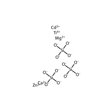 [Ca+2].[Cd+2].[Mg+2].[O-][Si]([O-])([O-])[O-].[O-][Si]([O-])([O-])[O-].[O-][Si]([O-])([O-])[O-].[Ti+4].[Zn+2]